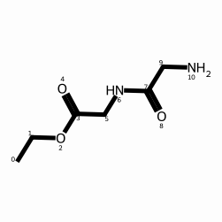 CCOC(=O)CNC(=O)CN